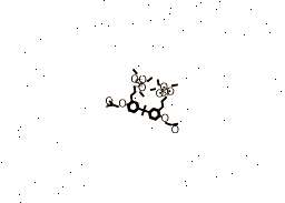 CCO[Si](CCCc1cc(C(C)(C)c2ccc(OCC3CO3)c(CCC[Si](OCC)(OCC)OCC)c2)ccc1OCC1CO1)(OCC)OCC